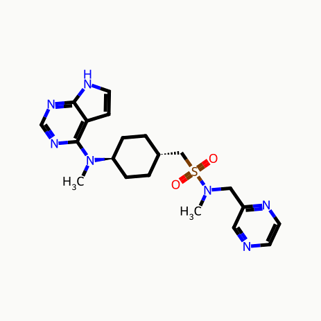 CN(Cc1cnccn1)S(=O)(=O)C[C@H]1CC[C@H](N(C)c2ncnc3[nH]ccc23)CC1